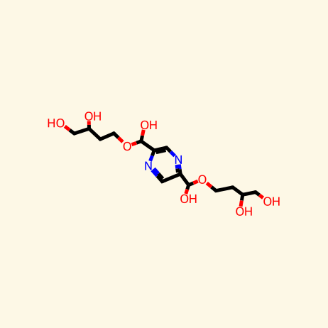 OCC(O)CCOC(O)c1cnc(C(O)OCCC(O)CO)cn1